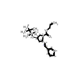 C=CCOC(=O)N1C[C@H](O[Si](C)(C)C(C)(C)C)C[C@H]1/C=C/c1cccnc1